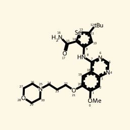 COc1cc2ncnc(Nc3cc(C(C)(C)C)[se]c3C(N)=O)c2cc1OCCCN1CCOCC1